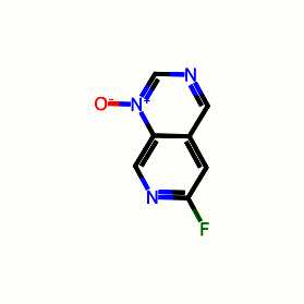 [O-][n+]1cncc2cc(F)ncc21